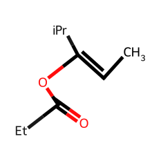 CC=C(OC(=O)CC)C(C)C